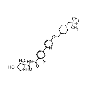 CC(C)(F)CN1CCC(COc2ccc(-c3ccc(C(=O)NC(=O)[C@]4(C)C[C@@H](O)CN4)c(F)c3)nc2)CC1